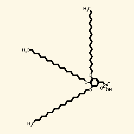 CCCCCCCCCCCCCCCCCCOc1cc(CS(=O)(=O)O)cc(OCCCCCCCCCCCCCCCCCC)c1OCCCCCCCCCCCCCCCCCC